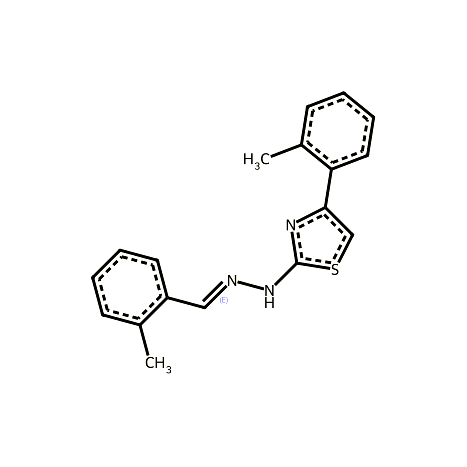 Cc1ccccc1/C=N/Nc1nc(-c2ccccc2C)cs1